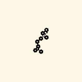 CC1=C(c2cccc(N(c3ccccc3)c3ccc(-c4cccc(-c5ccc6c(c5)-c5ccccc5[C@H]6c5ccccc5)c4)cc3)c2C)CCC=C1